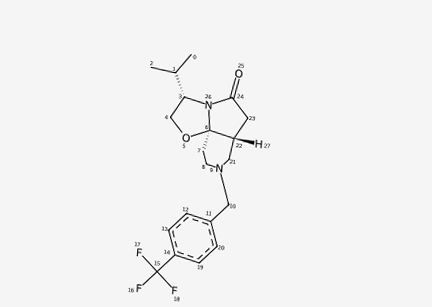 CC(C)[C@H]1CO[C@]23CCN(Cc4ccc(C(F)(F)F)cc4)C[C@H]2CC(=O)N13